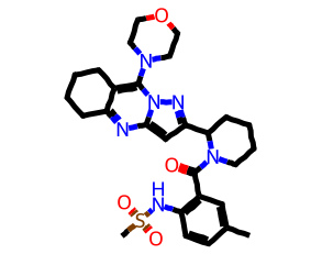 Cc1ccc(NS(C)(=O)=O)c(C(=O)N2CCCCC2c2cc3nc4c(c(N5CCOCC5)n3n2)CCCC4)c1